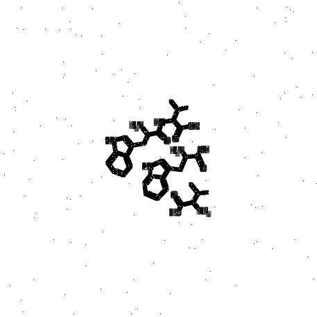 CC(C)C(N)C(=O)O.CC(C)C(NC(=O)C(N)Cc1c[nH]c2ccccc12)C(=O)O.NC(Cc1c[nH]c2ccccc12)C(=O)O